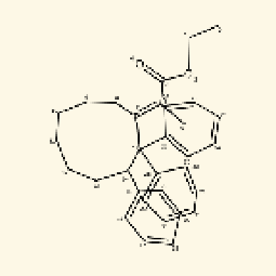 CCOC(=O)C(C)=[P]1CCCCCCC(c2ccccc2)C1(c1ccccc1)c1ccccc1